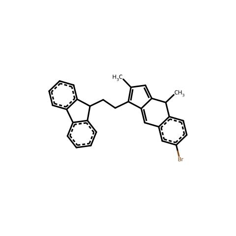 CC1=C(CCC2c3ccccc3-c3ccccc32)C2=Cc3cc(Br)ccc3C(C)C2=C1